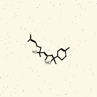 CC(C)=CCCC(C)(O)C=C(I)CC(C)(O)C1CC=C(C)CC1